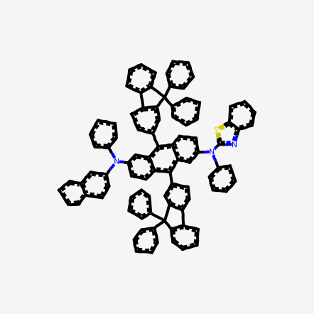 c1ccc(N(c2ccc3ccccc3c2)c2ccc3c(-c4ccc5c(c4)C(c4ccccc4)(c4ccccc4)c4ccccc4-5)c4cc(N(c5ccccc5)c5nc6ccccc6s5)ccc4c(-c4ccc5c(c4)C(c4ccccc4)(c4ccccc4)c4ccccc4-5)c3c2)cc1